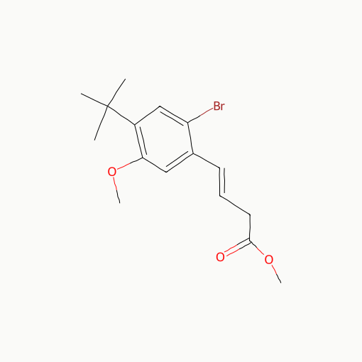 COC(=O)C/C=C/c1cc(OC)c(C(C)(C)C)cc1Br